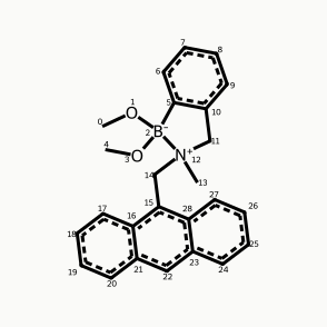 CO[B-]1(OC)c2ccccc2C[N+]1(C)Cc1c2ccccc2cc2ccccc12